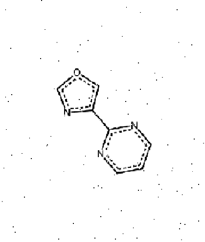 [c]1nc(-c2ncccn2)co1